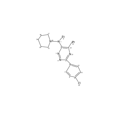 CCN(c1nnc(-c2ccc(Cl)cc2)nc1C(C)C)N1CCCCC1